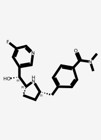 CN(C)C(=O)c1ccc(C[C@@H]2CC[C@H]([C@H](O)c3cncc(F)c3)N2)cc1